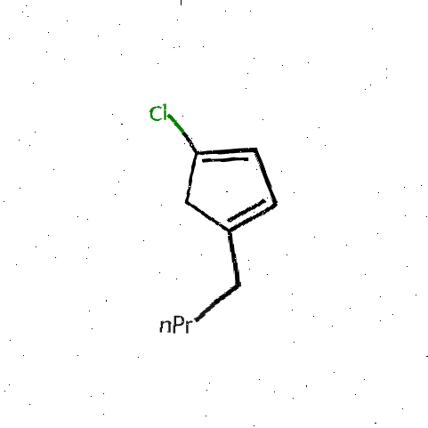 CCCCC1=CC=C(Cl)C1